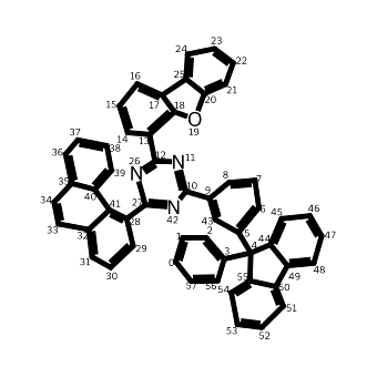 c1ccc(C2(c3cccc(-c4nc(-c5cccc6c5oc5ccccc56)nc(-c5cccc6ccc7ccccc7c56)n4)c3)c3ccccc3-c3ccccc32)cc1